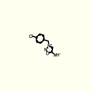 [NH-]c1c[n+](Cc2ccc(Cl)cc2)no1